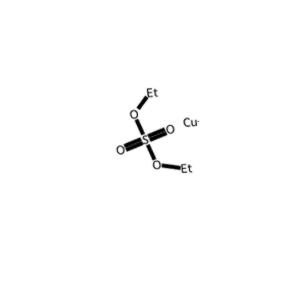 CCOS(=O)(=O)OCC.[Cu]